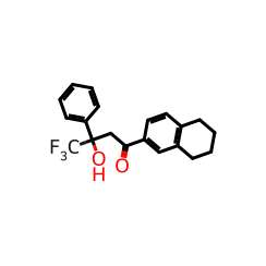 O=C(CC(O)(c1ccccc1)C(F)(F)F)c1ccc2c(c1)CCCC2